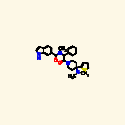 CN(C(=O)c1ccc2cc[nH]c2c1)C(C(=O)N1CCC(c2cccs2)(N(C)C)CC1)c1ccccc1